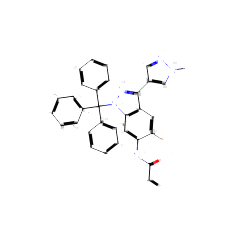 C=CC(=O)Nc1cc2c(cc1Br)c(-c1cnn(C)c1)nn2C(c1ccccc1)(c1ccccc1)c1ccccc1